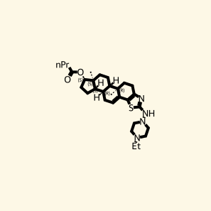 CCCC(=O)O[C@H]1CC[C@H]2[C@@H]3CC=C4c5sc(NN6CCN(CC)CC6)nc5CC[C@]4(C)[C@H]3CC[C@]12C